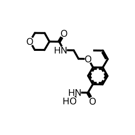 C/C=C\c1ccc(C(=O)NO)cc1OCCNC(=O)C1CCOCC1